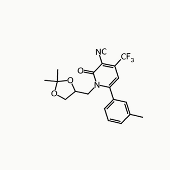 [C-]#[N+]c1c(C(F)(F)F)cc(-c2cccc(C)c2)n(CC2COC(C)(C)O2)c1=O